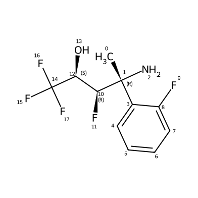 C[C@@](N)(c1ccccc1F)[C@@H](F)[C@H](O)C(F)(F)F